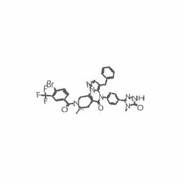 C[C@@H]1Cc2c(n3ncc(Cc4ccccc4)c3n(-c3ccc(-c4n[nH]c(=O)n4C)cc3)c2=O)CN1C(=O)c1ccc(Br)c(C(F)(F)F)c1